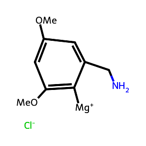 COc1cc(CN)[c]([Mg+])c(OC)c1.[Cl-]